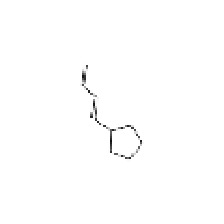 C=CC=CC1CCCC1